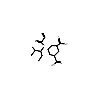 C=CC(=O)OC(CC)C(C)C.O=C(O)C1CCCC(C(=O)O)C1